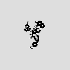 COc1ccc(CN2C3CCC2C2C(=O)N(C)c4c(OC[C@@]56CCCN5C[C@H](F)C6)nc5c(c4N2C3)CCN(c2cccc3ccc(F)c(Cl)c23)C5)cc1